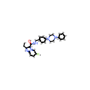 CCc1nc2ccc(F)cn2c1C(=O)NCc1ccc(N2CCN(c3ccccc3)CC2)cc1